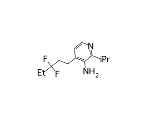 CCC(F)(F)CCc1ccnc(C(C)C)c1N